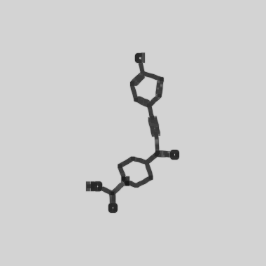 O=C(C#Cc1ccc(Cl)cc1)C1CCN(C(=O)O)CC1